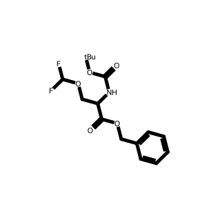 CC(C)(C)OC(=O)NC(COC(F)F)C(=O)OCc1ccccc1